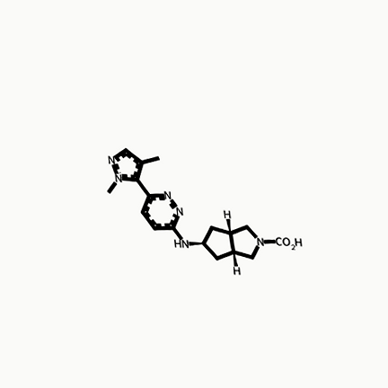 Cc1cnn(C)c1-c1ccc(N[C@H]2C[C@@H]3CN(C(=O)O)C[C@@H]3C2)nn1